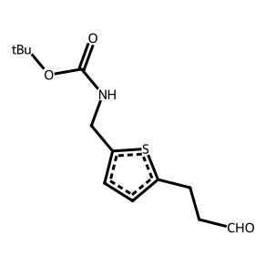 CC(C)(C)OC(=O)NCc1ccc(CCC=O)s1